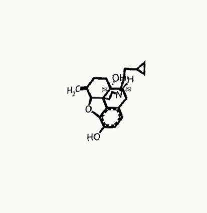 C=C1CC[C@@]2(O)[C@@H]3Cc4ccc(O)c5c4C2(CCN3CC2CC2)C1O5